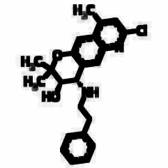 Cc1cc(Cl)nc2cc3c(cc12)OC(C)(C)[C@H](O)[C@H]3NCCc1ccccc1